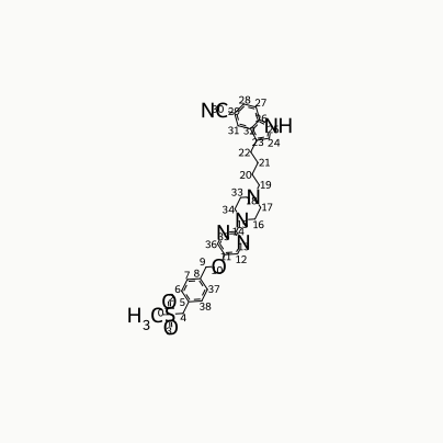 CS(=O)(=O)Cc1ccc(COc2cnc(N3CCN(CCCCc4c[nH]c5ccc(C#N)cc45)CC3)nc2)cc1